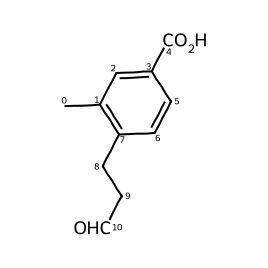 Cc1cc(C(=O)O)ccc1CCC=O